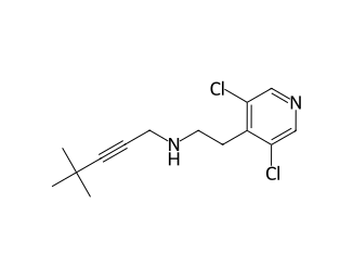 CC(C)(C)C#CCNCCc1c(Cl)cncc1Cl